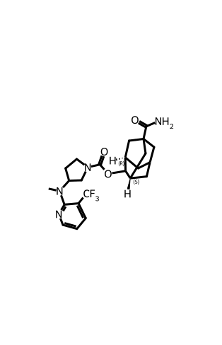 CN(c1ncccc1C(F)(F)F)C1CCN(C(=O)OC2[C@@H]3CC4C[C@H]2CC(C(N)=O)(C4)C3)C1